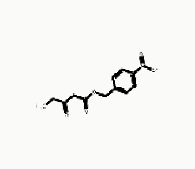 CCC(=O)CC(=O)OCc1ccc([N+](=O)[O-])cc1